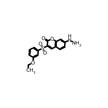 CCOc1cccc(S(=O)(=O)c2cc3ccc(NN)cc3oc2=O)c1